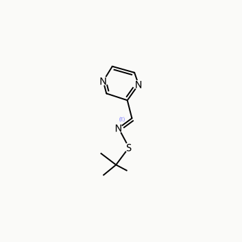 CC(C)(C)S/N=C/c1cnccn1